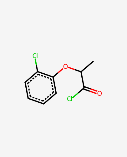 CC(Oc1ccccc1Cl)C(=O)Cl